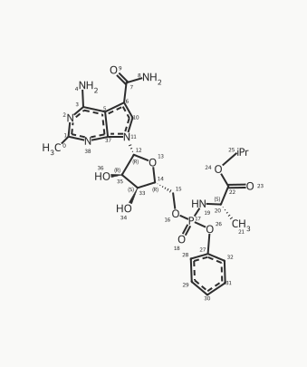 Cc1nc(N)c2c(C(N)=O)cn([C@@H]3O[C@H](COP(=O)(N[C@@H](C)C(=O)OC(C)C)Oc4ccccc4)[C@@H](O)[C@H]3O)c2n1